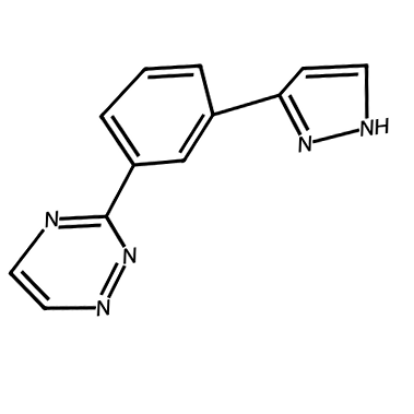 c1cc(-c2cc[nH]n2)cc(-c2nccnn2)c1